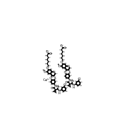 COc1cc2c(Oc3ccc(NC(=O)C4(C(=O)Nc5cccc(Cl)c5)CC4)cc3F)ccnc2cc1OCCCCCCC(=O)[O-].COc1cc2c(Oc3ccc(NC(=O)C4(C(=O)Nc5cccc(Cl)c5)CC4)cc3F)ccnc2cc1OCCCCCCC(=O)[O-].[Ca+2]